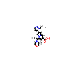 CCn1nccc1-c1cc2cc(C(=O)O)c(C)c(C(C)N3CCOCC3)n2c1